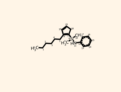 CCCCCCC1=C([Si](C)(C)Nc2ccccc2)CC=C1